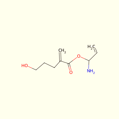 C=CC(N)OC(=O)C(=C)CCCO